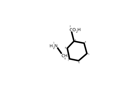 CN.O=C(O)C1CCCCC1